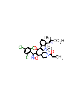 C=CC(=O)N1CCC(c2onc(-c3c(Cl)cc(Cl)cc3Cl)c2C(=O)c2cn(C)c3c(/C=C(/C(=O)O)C(C)(C)C)cccc23)CC1